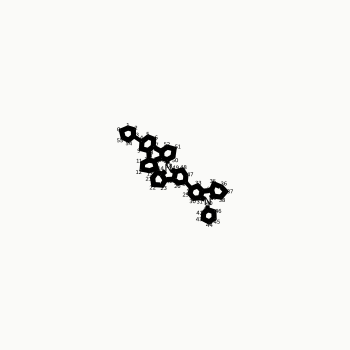 c1ccc(-c2ccc3c(c2)c2ccccc2c2c(-n4c5ccccc5c5cc(-c6ccc7c(c6)c6ccccc6n7-c6ccccc6)ccc54)cccc32)cc1